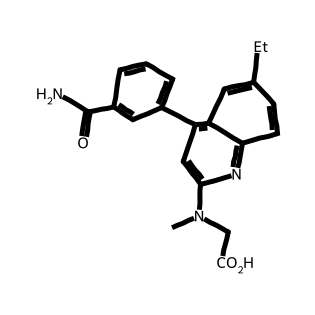 CCc1ccc2nc(N(C)CC(=O)O)cc(-c3cccc(C(N)=O)c3)c2c1